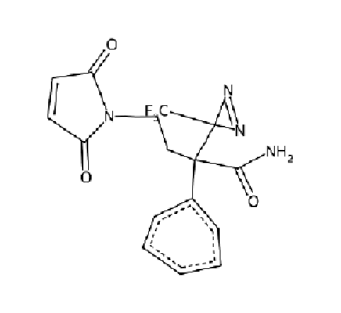 NC(=O)C(CCN1C(=O)C=CC1=O)(c1ccccc1)C1(C(F)(F)F)N=N1